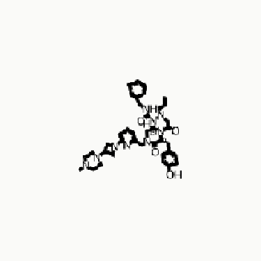 C=CCN1CC(=O)N2[C@@H](Cc3ccc(O)cc3)C(=O)N(Cc3cccc(N4CC(N5CCN(C)CC5)C4)n3)C[C@@H]2N1C(=O)NCc1ccccc1